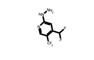 NNc1cc(C(F)F)c(C(F)(F)F)cn1